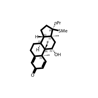 CCC[C@@]1(SC)CC[C@H]2[C@@H]3CCC4=CC(=O)C=C[C@]4(C)[C@@]3(F)[C@@H](O)C[C@@]21C